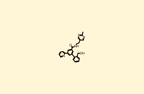 Cc1ncc(CCNC(=O)c2cc(-c3ccccn3)cc(-c3ccccc3CO)c2)cn1